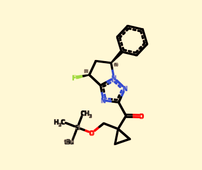 CC(C)(C)[Si](C)(C)OCC1(C(=O)c2nc3n(n2)[C@H](c2ccccc2)C[C@@H]3F)CC1